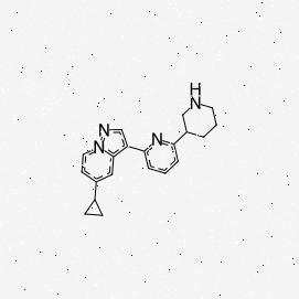 c1cc(-c2cnn3ccc(C4CC4)cc23)nc(C2CCCNC2)c1